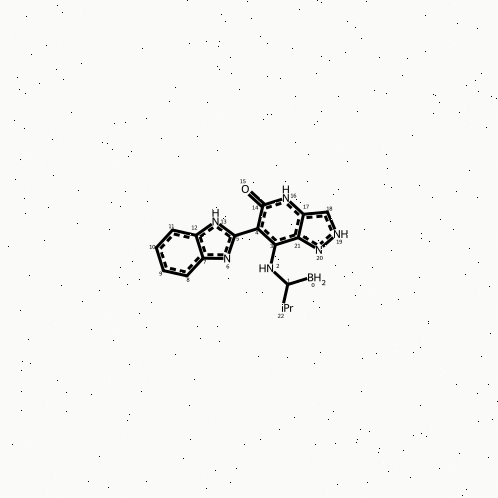 BC(Nc1c(-c2nc3ccccc3[nH]2)c(=O)[nH]c2c[nH]nc12)C(C)C